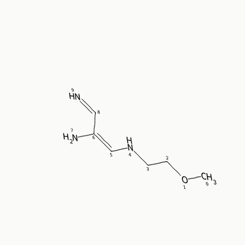 COCCN/C=C(/N)C=N